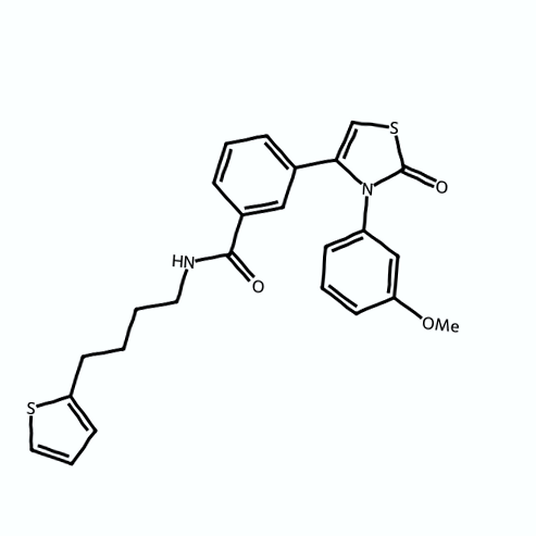 COc1cccc(-n2c(-c3cccc(C(=O)NCCCCc4cccs4)c3)csc2=O)c1